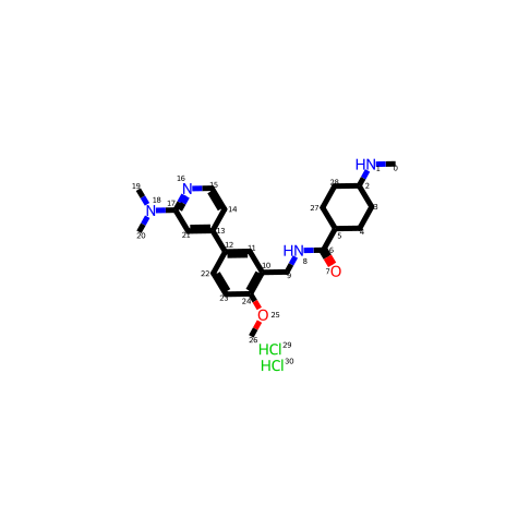 CNC1CCC(C(=O)NCc2cc(-c3ccnc(N(C)C)c3)ccc2OC)CC1.Cl.Cl